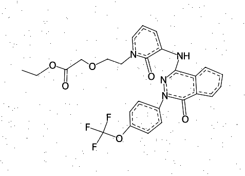 CCOC(=O)COCCn1cccc(Nc2nn(-c3ccc(OC(F)(F)F)cc3)c(=O)c3ccccc23)c1=O